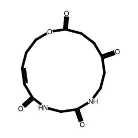 O=C1CCNC(=O)CNC(=O)C=CCCOC(=O)CC1